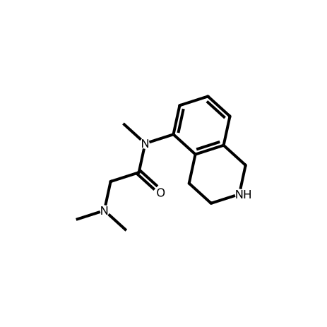 CN(C)CC(=O)N(C)c1cccc2c1CCNC2